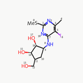 CSc1nc(C)c(I)c(NC2CC(CO)[C@@H](O)[C@H]2O)n1